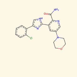 NC(=O)c1ncc(N2CCOCC2)cc1-c1nc(-c2ccccc2Cl)c[nH]1